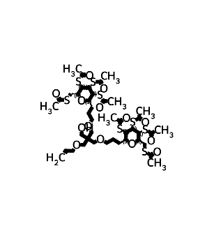 C=CCOCC(CO)(COCCC[C@@H]1O[C@H](CSC(C)=O)[C@@H](SC(C)=O)[C@@H](SC(C)=O)[C@@H]1SC(C)=O)COCCC[C@@H]1O[C@H](CSC(C)=O)[C@@H](SC(C)=O)[C@@H](SC(C)=O)[C@@H]1SC(C)=O